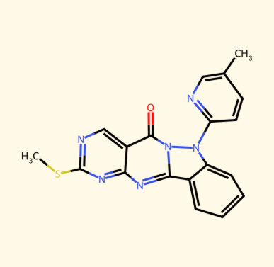 CSc1ncc2c(=O)n3c(nc2n1)c1ccccc1n3-c1ccc(C)cn1